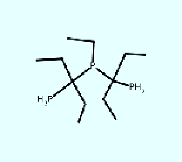 CCP(C(P)(CC)CC)C(P)(CC)CC